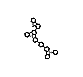 c1ccc(-n2c3ccccc3c3cc(-c4ccc(-c5ccc6c(c5)c5cc(-c7cccc8c7sc7ccccc78)cc7c8ccccc8n6c75)cc4)ccc32)cc1